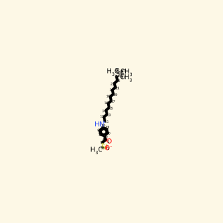 C[S+]([O-])CC(=O)c1ccc(NCCCCCCCCCCCCCC[Si](C)(C)C)cc1